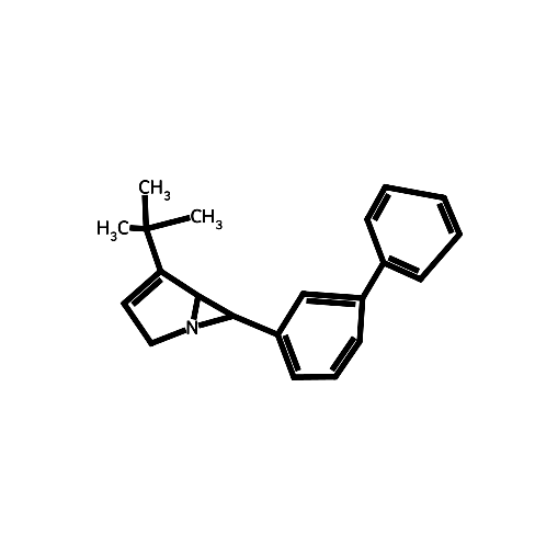 CC(C)(C)C1=CCN2C1C2c1cccc(-c2ccccc2)c1